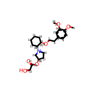 COc1ccc(CCO[C@@H]2CCCC[C@H]2N2CC[C@@H](OC(=O)CO)C2)cc1OC